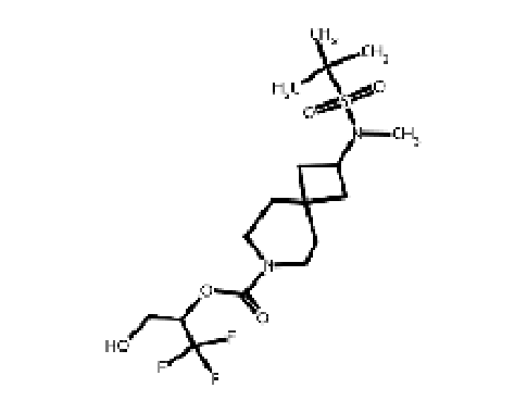 CN(C1CC2(CCN(C(=O)O[C@H](CO)C(F)(F)F)CC2)C1)S(=O)(=O)C(C)(C)C